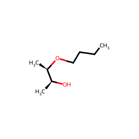 CCCCO[C@H](C)[C@H](C)O